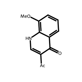 COc1cccc2c(=O)c(C(C)=O)c[nH]c12